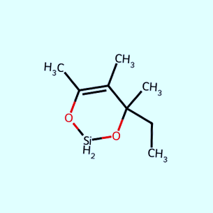 CCC1(C)O[SiH2]OC(C)=C1C